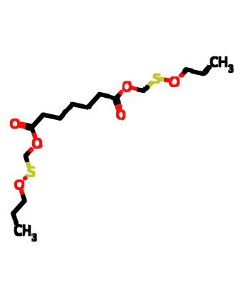 CCCOSCOC(=O)CCCCCC(=O)OCSOCCC